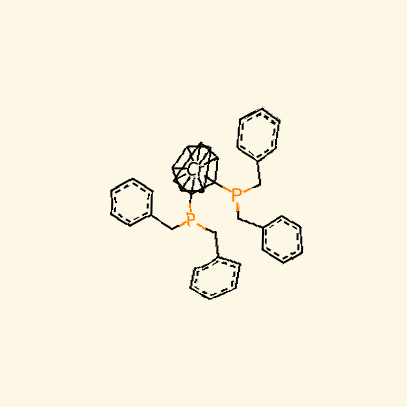 c1ccc(CP(Cc2ccccc2)[C]23[CH]4[CH]5[CH]6[C]2(P(Cc2ccccc2)Cc2ccccc2)[Cr]54632789[CH]3[CH]2[CH]7[CH]8[CH]39)cc1